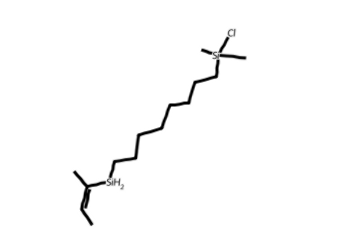 CC=C(C)[SiH2]CCCCCCCC[Si](C)(C)Cl